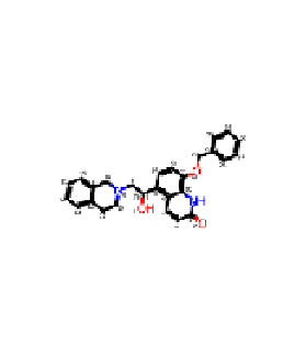 O=c1ccc2c([C@@H](O)CN3CCc4ccccc4C3)ccc(OCc3ccccc3)c2[nH]1